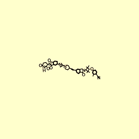 Cc1cc(O[C@H]2C(C)(C)[C@H](N3Cc4cc(C#CC5CCN(C6CN(c7ccc8c(c7)C(=O)N(C7CCC(=O)NC7=O)C8=O)C6)CC5)ccc4C3=O)C2(C)C)ccc1C#N